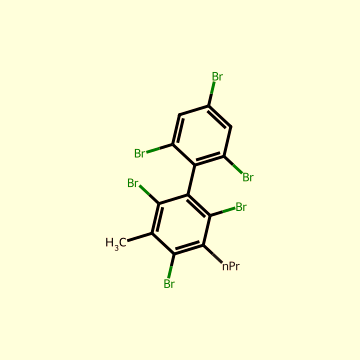 CCCc1c(Br)c(C)c(Br)c(-c2c(Br)cc(Br)cc2Br)c1Br